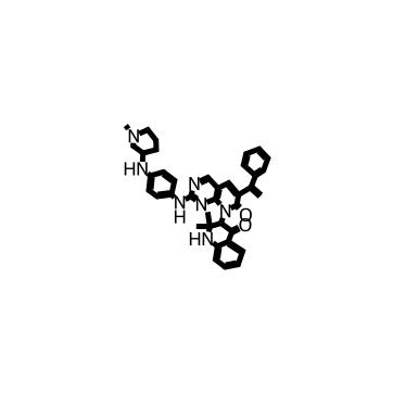 C=C(c1ccccc1)c1cc2cnc(Nc3ccc(NC4CCCN(C)C4)cc3)nc2n(C2C(=O)c3ccccc3NC2(C)C)c1=O